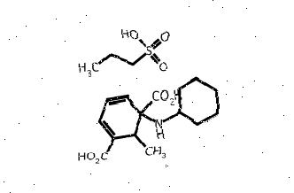 CC1C(C(=O)O)=CC=CC1(NC1CCCCC1)C(=O)O.CCCS(=O)(=O)O